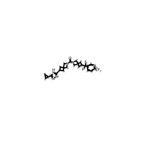 O=C(N1CC2(CC(c3nnc(C4CC4)[nH]3)C2)C1)N1CC2(CC(C(F)(F)c3ccc(C(F)(F)F)nc3)C2)C1